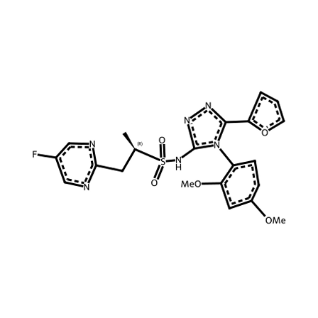 COc1ccc(-n2c(NS(=O)(=O)[C@H](C)Cc3ncc(F)cn3)nnc2-c2ccco2)c(OC)c1